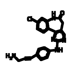 NCC#Cc1ccc(Nc2ncc3c(n2)-c2ccc(Cl)cc2NC(=O)C3)cc1